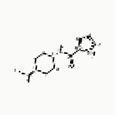 O=C(N[C@H]1CC[C@H](NI)CC1)c1ccc[nH]1